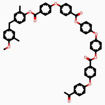 COc1ccc(Cc2ccc(OC(=O)c3ccc(Oc4ccc(C(=O)Oc5ccc(Oc6ccc(OC(=O)c7ccc(Oc8ccc(C(C)=O)cc8)cc7)cc6)cc5)cc4)cc3)c(C)c2)cc1C